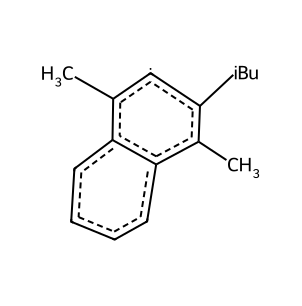 CCC(C)c1[c]c(C)c2ccccc2c1C